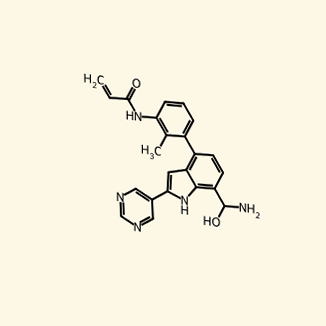 C=CC(=O)Nc1cccc(-c2ccc(C(N)O)c3[nH]c(-c4cncnc4)cc23)c1C